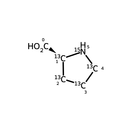 O=[13C](O)[13C@@H]1[13CH2][13CH2][13CH2][15NH]1